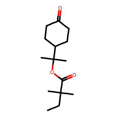 CCC(C)(C)C(=O)OC(C)(C)C1CCC(=O)CC1